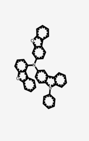 c1ccc(-n2c3ccccc3c3cc(N(c4ccc5c(c4)oc4ccccc45)c4cccc5oc6ccccc6c45)ccc32)cc1